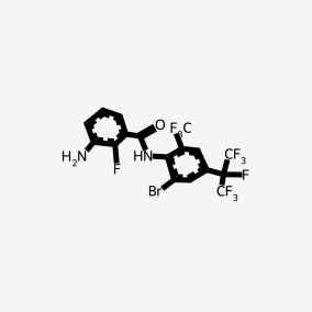 Nc1cccc(C(=O)Nc2c(Br)cc(C(F)(C(F)(F)F)C(F)(F)F)cc2C(F)(F)F)c1F